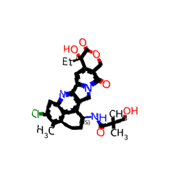 CC[C@@]1(O)C(=O)OCc2c1cc1n(c2=O)Cc2c-1nc1cc(Cl)c(C)c3c1c2[C@@H](NC(=O)C(C)(C)CO)CC3